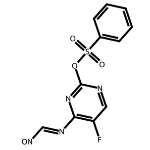 O=N/C=N/c1nc(OS(=O)(=O)c2ccccc2)ncc1F